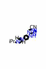 CC(C)CN1C[C@@H]2C[C@H]1CN2c1ccc(Nc2ncc(C#N)n3ncnc23)cc1